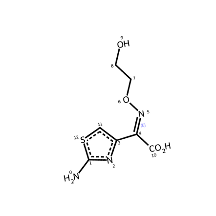 Nc1nc(/C(=N\OCCO)C(=O)O)cs1